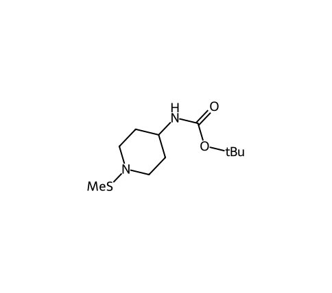 CSN1CCC(NC(=O)OC(C)(C)C)CC1